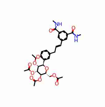 CNC(=O)c1cc(C=CCc2cccc([C@H]3O[C@H](COC(C)=O)[C@@H](OC(C)=O)[C@H](OC(C)=O)[C@@H]3OC(C)=O)c2)cc(C(=O)NC)c1